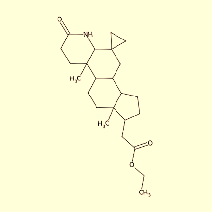 CCOC(=O)CC1CCC2C3CC4(CC4)C4NC(=O)CCC4(C)C3CCC12C